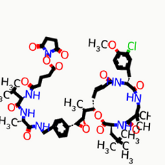 COc1ccc(C[C@H]2NC(=O)/C=C/C[C@@H]([C@H](C)[C@H]3O[C@@H]3c3ccc(CNC(=O)[C@H](C)NC(=O)[C@@H](NC(=O)CCCC(=O)ON4C(=O)CCC4=O)C(C)C)cc3)OC(=O)[C@H](CC(C)(C)C)NC(=O)C(C)(C)CNC2=O)cc1Cl